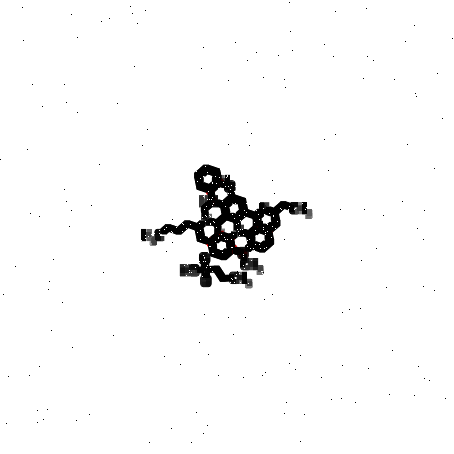 CCCCC1=CCN(CCCC)C(c2c3c(cc(-c4nccc(CC)n4)c2N2c4ccccc4Oc4ccccc42)Oc2ccccc2N3)N1CCCC.CCCS(=O)(=O)O